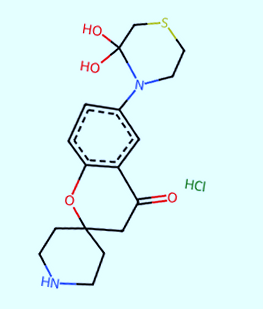 Cl.O=C1CC2(CCNCC2)Oc2ccc(N3CCSCC3(O)O)cc21